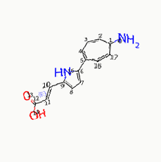 NC1C=CC=C(c2ccc(/C=C/C(=O)O)[nH]2)C=C1